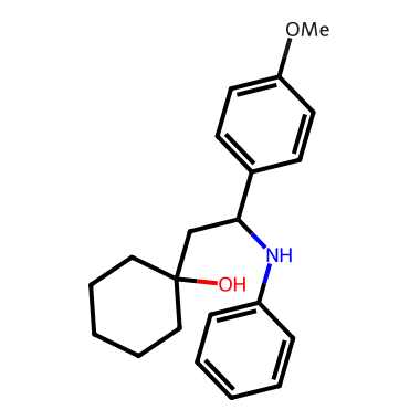 COc1ccc(C(CC2(O)CCCCC2)Nc2ccccc2)cc1